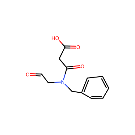 O=CCN(Cc1ccccc1)C(=O)CC(=O)O